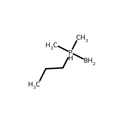 B[PH](C)(C)CCC